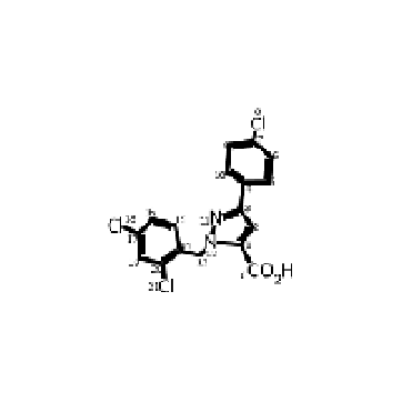 O=C(O)c1cc(-c2ccc(Cl)cc2)nn1Cc1ccc(Cl)cc1Cl